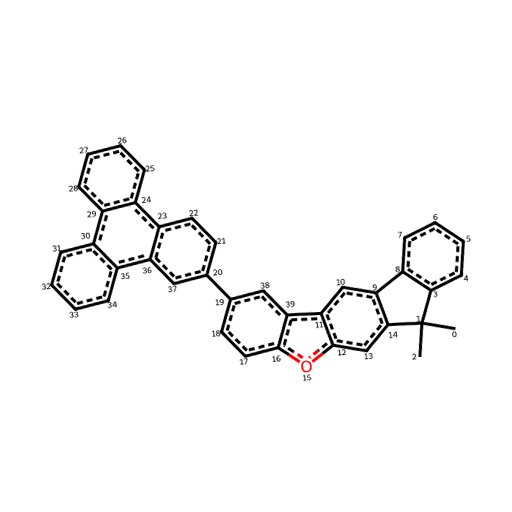 CC1(C)c2ccccc2-c2cc3c(cc21)oc1ccc(-c2ccc4c5ccccc5c5ccccc5c4c2)cc13